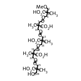 COCC(C)(COOCC(C)(COOCC(C)(COOCC(C)(COOCC(C)(CO)C(=O)O)C(=O)O)C(=O)O)C(=O)O)C(=O)O